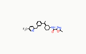 CC(=C1CCCC(NC(=O)c2nnc(C)o2)C1)c1cccc(Cc2ccc(C(F)(F)F)cn2)c1